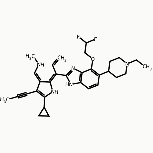 C=C/C(c1nc2c(OCC(F)F)c(C3CCN(CC)CC3)ccc2[nH]1)=c1/[nH]c(C2CC2)c(C#CC)/c1=C/NC